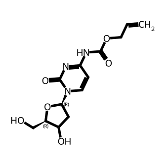 C=CCOC(=O)Nc1ccn([C@H]2CC(O)[C@@H](CO)O2)c(=O)n1